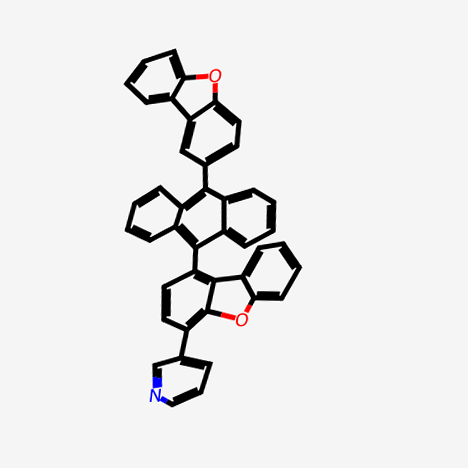 c1cncc(-c2ccc(-c3c4ccccc4c(-c4ccc5oc6ccccc6c5c4)c4ccccc34)c3c2oc2ccccc23)c1